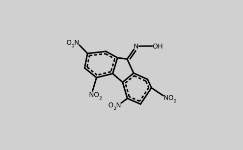 O=[N+]([O-])c1cc2c(c([N+](=O)[O-])c1)-c1c(cc([N+](=O)[O-])cc1[N+](=O)[O-])C2=NO